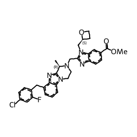 COC(=O)c1ccc2nc(CN3CCn4c(nc5c(Cc6ccc(Cl)cc6F)cccc54)[C@H]3C)n(C[C@@H]3CCO3)c2c1